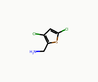 NCc1sc(Cl)cc1Cl